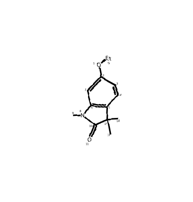 CCOc1ccc2c(c1)N(C)C(=O)C2(C)C